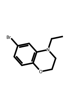 CCN1CCOc2ccc(Br)cc21